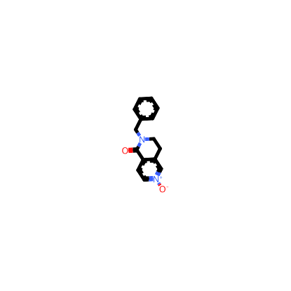 O=C1c2cc[n+]([O-])cc2CCN1Cc1ccccc1